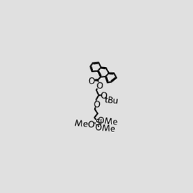 CO[Si](CCCOCC(COC(=O)c1c2ccccc2cc2ccccc12)OC(C)(C)C)(OC)OC